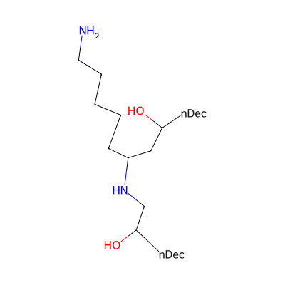 CCCCCCCCCCC(O)CNC(CCCCCN)CC(O)CCCCCCCCCC